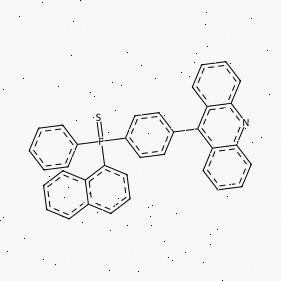 S=P(c1ccccc1)(c1ccc(-c2c3ccccc3nc3ccccc23)cc1)c1cccc2ccccc12